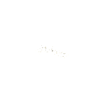 CC1(I)CC2(Oc3ccc(C(=O)NC[C@H](O)CN4CCc5ccccc5C4)cc3NC2=O)C2CC21